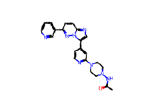 CC(=O)NN1CCN(c2cc(-c3cnc4ccc(-c5cccnc5)nn34)ccn2)CC1